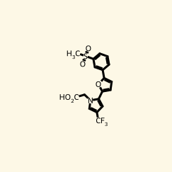 CS(=O)(=O)c1cccc(-c2ccc(-c3cc(C(F)(F)F)cn3CC(=O)O)o2)c1